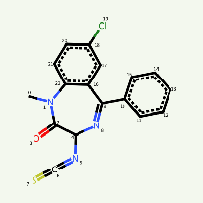 CN1C(=O)C(N=C=S)N=C(c2ccccc2)c2cc(Cl)ccc21